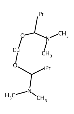 CC(C)C([O][Cu][O]C(C(C)C)N(C)C)N(C)C